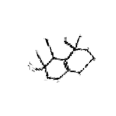 CC1C2=C(CCCC2(C)C)CCC1(C)C#N